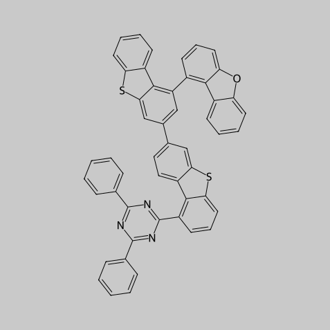 c1ccc(-c2nc(-c3ccccc3)nc(-c3cccc4sc5cc(-c6cc(-c7cccc8oc9ccccc9c78)c7c(c6)sc6ccccc67)ccc5c34)n2)cc1